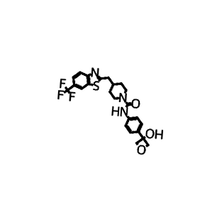 O=C(Nc1ccc(C2(O)COC2)cc1)N1CCC(Cc2nc3ccc(C(F)(F)F)cc3s2)CC1